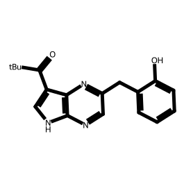 CC(C)(C)C(=O)c1c[nH]c2ncc(Cc3ccccc3O)nc12